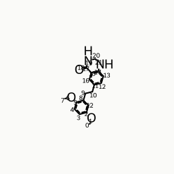 COc1ccc(OC)c(CCc2ccc3c(c2)C(=O)NCN3)c1